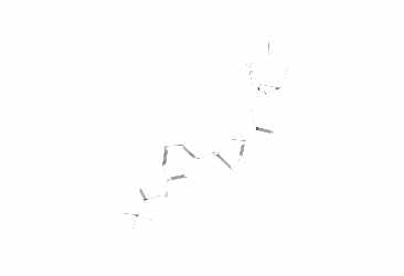 CC1CC2CCN1C[C@@H]2NC(=O)c1ncc(-c2cccc(NC(=O)C(F)(F)F)c2)o1